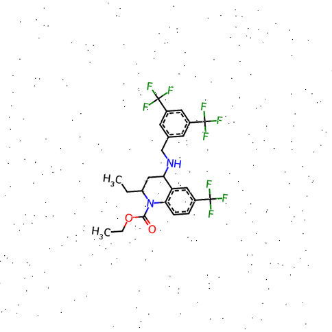 CCOC(=O)N1c2ccc(C(F)(F)F)cc2C(NCc2cc(C(F)(F)F)cc(C(F)(F)F)c2)CC1CC